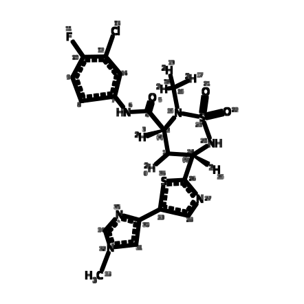 [2H]C1[C@]([2H])(C(=O)Nc2ccc(F)c(Cl)c2)N(C([2H])([2H])[2H])S(=O)(=O)N[C@]1([2H])c1ncc(-c2cn(C)cn2)s1